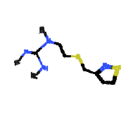 CCN=C(NC#N)N(CC)CCSCc1ccsn1